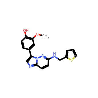 COc1cc(-c2cnc3ccc(NCc4cccs4)nn23)ccc1O